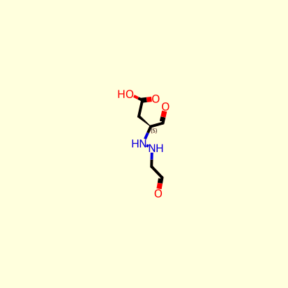 O=CCNN[C@H](C=O)CC(=O)O